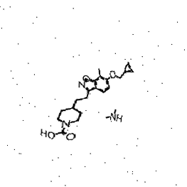 CNC.Cc1c(OCC2CC2)ccc2c(CCC3CCN(C(=O)O)CC3)noc12